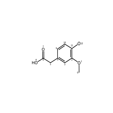 COc1cc(CC(=O)O)ccc1[O]